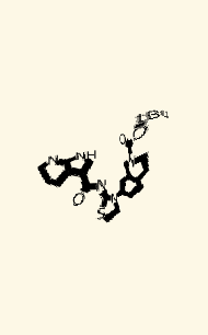 CC(C)(C)OC(=O)N1CCc2ccc(-n3ccs/c3=N\C(=O)c3c[nH]c4ncccc34)cc2C1